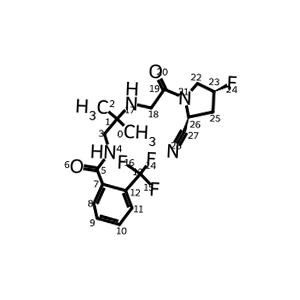 CC(C)(CNC(=O)c1ccccc1C(F)(F)F)NCC(=O)N1C[C@@H](F)C[C@H]1C#N